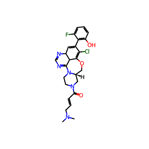 CN(C)C/C=C/C(=O)N1CCN2C3=NC=NC4C=C(c5c(O)cccc5F)C(Cl)=C(OC[C@@H]2C1)C34